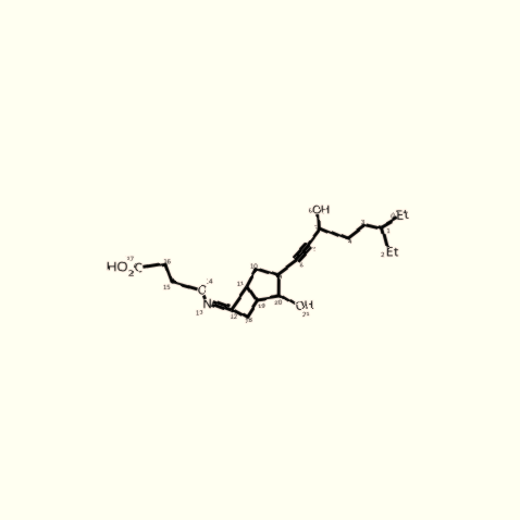 CCC(CC)CCC(O)C#CC1CC2C(=NOCCC(=O)O)CC2C1O